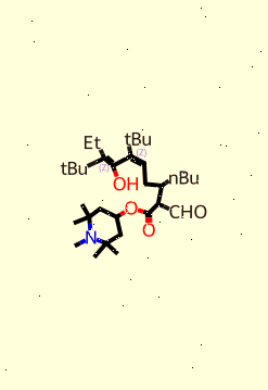 CCCCC(C/C=C(\C(O)=C(/CC)C(C)(C)C)C(C)(C)C)C(C=O)C(=O)OC1CC(C)(C)N(C)C(C)(C)C1